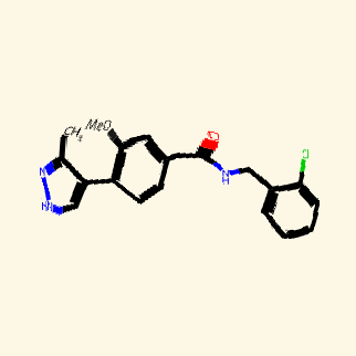 COc1cc(C(=O)NCc2ccccc2Cl)ccc1-c1c[nH]nc1C